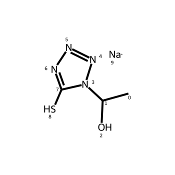 CC(O)n1nnnc1S.[Na]